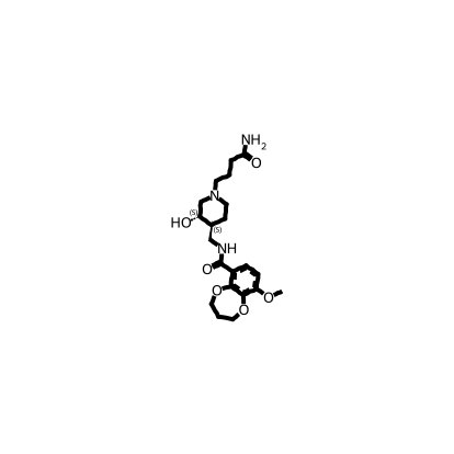 COc1ccc(C(=O)NC[C@@H]2CCN(CCCC(N)=O)C[C@H]2O)c2c1OCCCO2